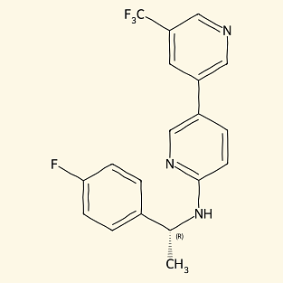 C[C@@H](Nc1ccc(-c2cncc(C(F)(F)F)c2)cn1)c1ccc(F)cc1